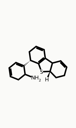 NC1CC=CC=C1[C@@H]1CC=CC2=C1S[C@H]1CCC=CC21